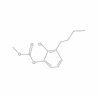 CCCCc1cccc(OC(=O)OC)c1Cl